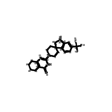 O=c1[nH]c(N2CCC3(CC2)CNc2cc(C(F)(F)F)ccc23)nc2c1CCCC2